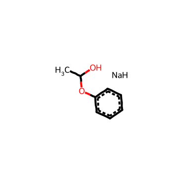 CC(O)Oc1ccccc1.[NaH]